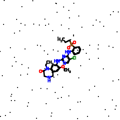 CCCS(=O)(=O)c1ccccc1Nc1nc(Nc2cc3c(cc2OC)CNCC(=O)N3CC)ncc1Cl